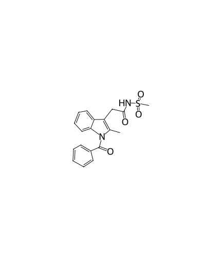 Cc1c(CC(=O)NS(C)(=O)=O)c2ccccc2n1C(=O)c1ccccc1